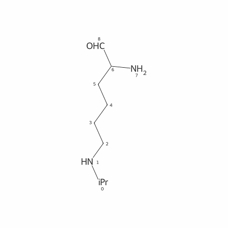 CC(C)NCCCCC(N)C=O